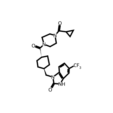 O=C(C1CC1)N1CCN(C(=O)[C@H]2CC[C@H](Cn3c(=O)[nH]c4cc(C(F)(F)F)ccc43)CC2)CC1